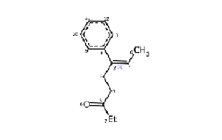 C/C=C(/CCC(=O)CC)c1ccccc1